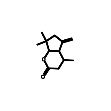 C=C1CC(C)(C)C2OC(=O)CC(C)C12